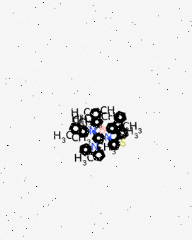 CC1(C)CCC(C)(C)c2cc(N3c4cc5c(cc4B4c6cc7c(cc6N(c6cccc8sc9ccccc9c68)c6cc(N8c9ccccc9C9(C)CCCCC89C)cc3c64)C(C)(C)c3ccccc3-7)C(C)(C)CCC5(C)C)ccc21